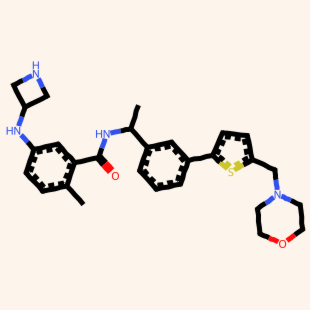 Cc1ccc(NC2CNC2)cc1C(=O)NC(C)c1cccc(-c2ccc(CN3CCOCC3)s2)c1